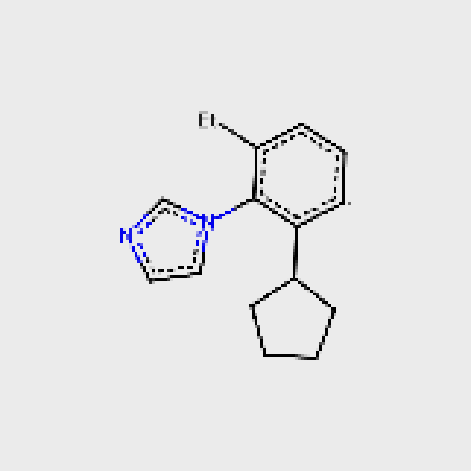 CCc1cc[c]c(C2CCCC2)c1-n1ccnc1